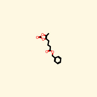 Cc1oc(=O)oc1CCCC(=O)OCc1ccccc1